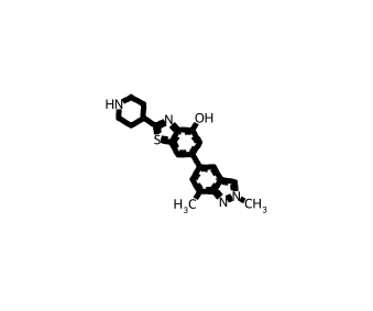 Cc1cc(-c2cc(O)c3nc(C4CCNCC4)sc3c2)cc2cn(C)nc12